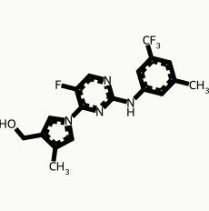 Cc1cc(Nc2ncc(F)c(-n3cc(C)c(CO)c3)n2)cc(C(F)(F)F)c1